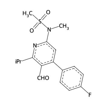 CC(C)c1nc(N(C)S(C)(=O)=O)cc(-c2ccc(F)cc2)c1C=O